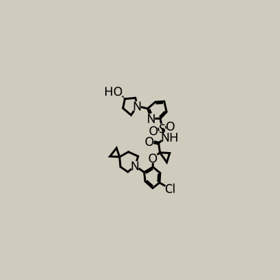 O=C(NS(=O)(=O)c1cccc(N2CC[C@H](O)C2)n1)C1(Oc2cc(Cl)ccc2N2CCC3(CC2)CC3)CC1